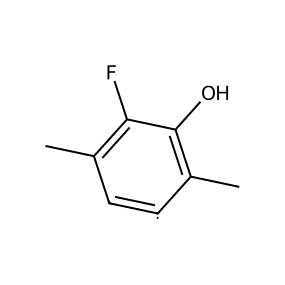 Cc1[c]cc(C)c(F)c1O